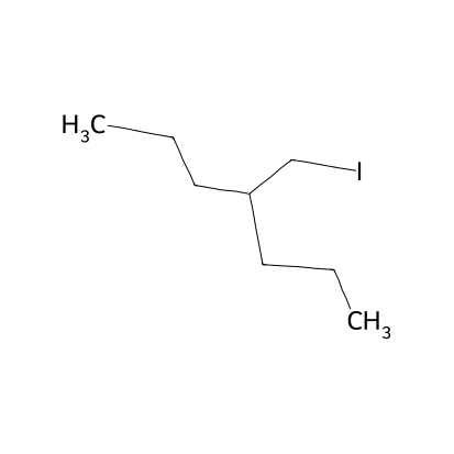 CCCC(CI)CCC